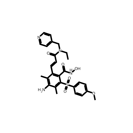 CCN(Cc1ccncc1)C(=O)C=Cc1c(C)c(N)c(C)c(S(=O)(=O)c2ccc(OC)cc2)c1C(=O)NO